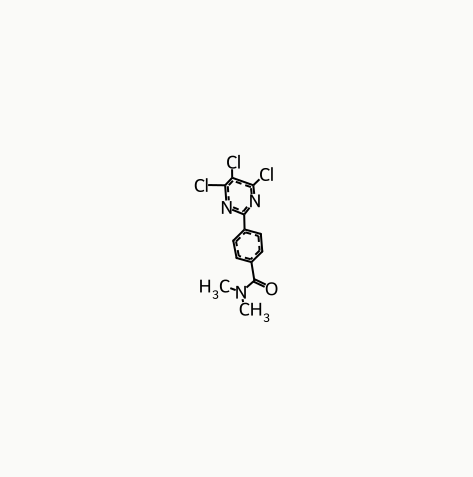 CN(C)C(=O)c1ccc(-c2nc(Cl)c(Cl)c(Cl)n2)cc1